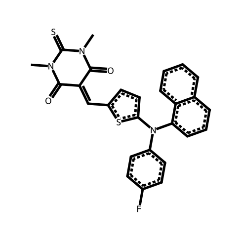 CN1C(=O)C(=Cc2ccc(N(c3ccc(F)cc3)c3cccc4ccccc34)s2)C(=O)N(C)C1=S